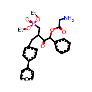 CCOP(=O)(CC(Cc1ccc(-c2ccccc2)cc1)C(=O)C(OC(=O)CN)c1ccccc1)OCC